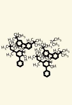 CC(C)(C)CC(C)(C)C1=CC(F)(n2c3ccc(C(C)(C)C)cc3c3cc(C(C)(C)C)ccc32)C(O)C(c2ccccc2)=C1.CC(C)(C)CC(C)(C)C1=CC(F)(n2c3ccc(C(C)(C)C)cc3c3cc(C(C)(C)C)ccc32)C(O)C(c2ccccc2)=C1.[CH3][Zr][CH3]